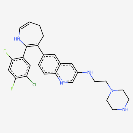 Fc1cc(F)c(C2=C(c3ccc4ncc(NCCN5CCNCC5)cc4c3)CCC=CN2)cc1Cl